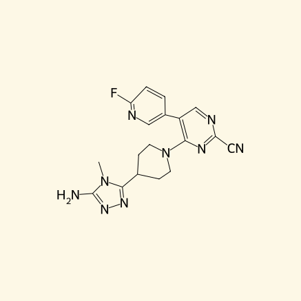 Cn1c(N)nnc1C1CCN(c2nc(C#N)ncc2-c2ccc(F)nc2)CC1